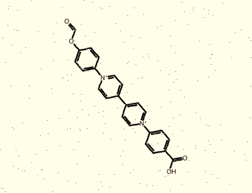 O=COc1ccc(-[n+]2ccc(-c3cc[n+](-c4ccc(C(=O)O)cc4)cc3)cc2)cc1